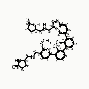 COc1nc(-c2cccc(-c3cccc(-c4ccc5ncc(CNCC6CCC(=O)N6)n5c4)c3Cl)c2Cl)ccc1CNCC1CCC(=O)N1